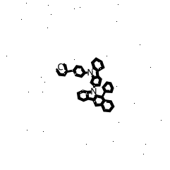 c1ccc(-c2ccc(-n3c4ccccc4c4ccc(-n5c6ccccc6c6cc7ccccc7c(-c7ccccc7)c65)cc43)cc2)cc1